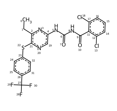 CCc1nc(NC(=O)NC(=O)c2c(Cl)cccc2Cl)cnc1Sc1ccc(C(F)(F)F)cc1